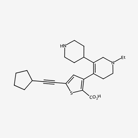 CCN1CCC(c2cc(C#CC3CCCC3)sc2C(=O)O)=C(C2CCNCC2)C1